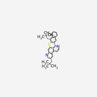 CC(C)(C)Cc1cnc2cc3c4c(nccc4c2c1)-c1cc2ccccc2c(CC(C)(C)C)c1S3